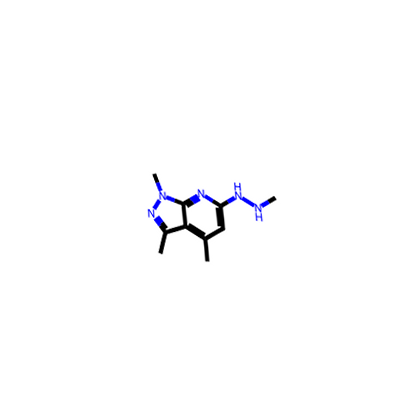 CNNc1cc(C)c2c(C)nn(C)c2n1